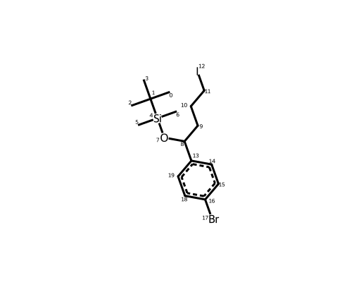 CC(C)(C)[Si](C)(C)OC(CCCI)c1ccc(Br)cc1